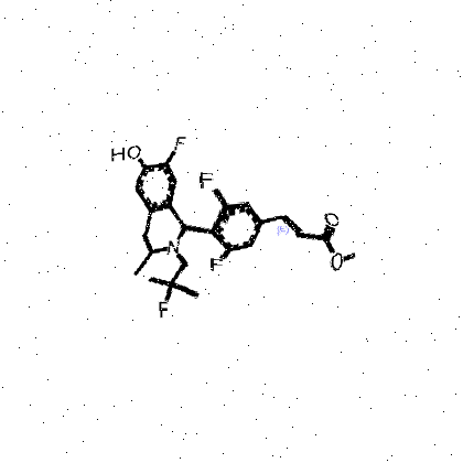 COC(=O)/C=C/c1cc(F)c(C2c3cc(F)c(O)cc3CC(C)N2CC(C)(C)F)c(F)c1